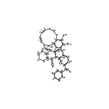 CC1/C=C\C=C/CSCc2c(ccc(F)c2F)[C@@H]1N1[C@@H]2COCCN2C(=O)c2c(OC(=O)N(C)c3ccccc3)c(=O)ccn21